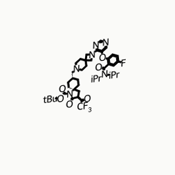 CC(C)N(C(=O)c1cc(F)ccc1Oc1cncnc1N1CC2(CCN(C[C@H]3CC[C@]4(CC3)CC(C(=O)C(F)(F)F)C(=O)N4C(=O)OC(C)(C)C)CC2)C1)C(C)C